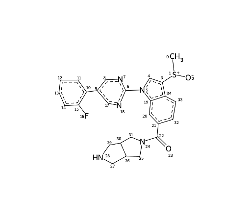 C[S+]([O-])c1cn(-c2ncc(-c3ccccc3F)cn2)c2cc(C(=O)N3CC4CNCC4C3)ccc12